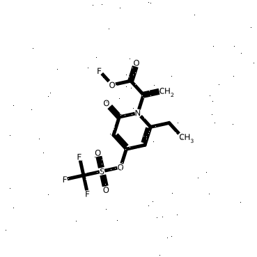 C=C(C(=O)OF)n1c(CC)cc(OS(=O)(=O)C(F)(F)F)cc1=O